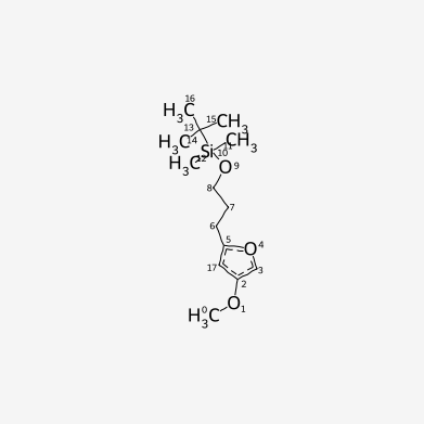 COc1coc(CCCO[Si](C)(C)C(C)(C)C)c1